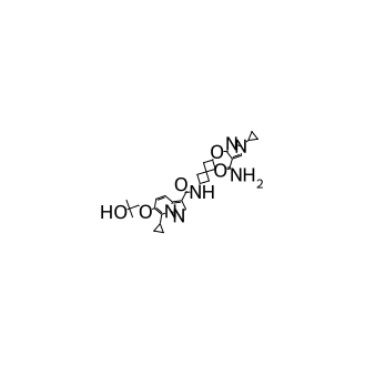 CC(C)(O)COc1ccc2c(C(=O)NC3CC4(C3)CC(Oc3nn(C5CC5)cc3C(N)=O)C4)cnn2c1C1CC1